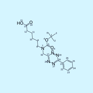 CC(C)(C)OC(=O)N(CCCCCC(=O)O)Cc1nnc(-c2ccccc2)nn1